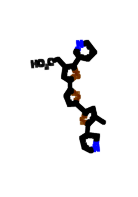 Cc1cc(-c2ccc(-c3cc(CC(=O)O)c(-c4cccnc4)s3)s2)sc1-c1cccnc1